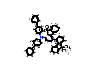 CC1(C)C/C(=C(\C=C/CN(c2ccc(-c3ccccc3)cc2)c2ccc(-c3ccccc3)cc2)c2cccc3c2-c2ccccc2C3(C)C)c2ccccc21